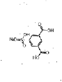 O=C(O)c1cccc(C(=O)O)c1.O=[S-](=O)O.[Na+]